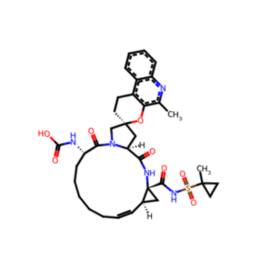 Cc1nc2ccccc2c2c1O[C@@]1(CC2)C[C@H]2C(=O)N[C@]3(C(=O)NS(=O)(=O)C4(C)CC4)C[C@H]3/C=C\CCCCC[C@H](NC(=O)O)C(=O)N2C1